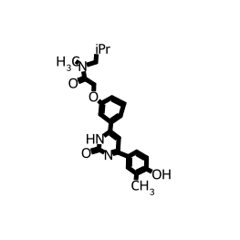 Cc1cc(-c2cc(-c3cccc(OCC(=O)N(C)CC(C)C)c3)[nH]c(=O)n2)ccc1O